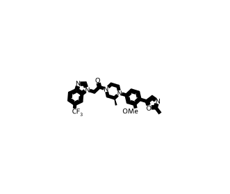 COc1cc(N2CCN(C(=O)Cn3cnc4ccc(C(F)(F)F)cc43)C[C@@H]2C)ccc1-c1cnc(C)o1